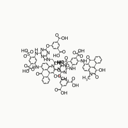 CCOc1c2c3c(c(Nc4cc(Nc5nc(NCCNc6nc(Nc7cc(Nc8ccc9c%10c8C(=O)c8ccccc8-c%10c(O)c(=O)n9C)c(S(=O)(=O)O)cc7S(=O)(=O)O)nc(Oc7cc(C(=O)O)cc(C(=O)O)c7)n6)nc(Oc6cc(C(=O)O)cc(C(=O)O)c6)n5)c(S(=O)(=O)O)cc4S(=O)(=O)O)ccc3n(C)c1=O)C(=O)c1ccccc1-2